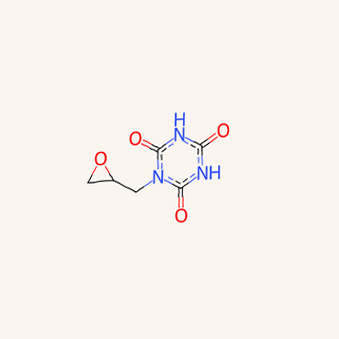 O=c1[nH]c(=O)n(CC2CO2)c(=O)[nH]1